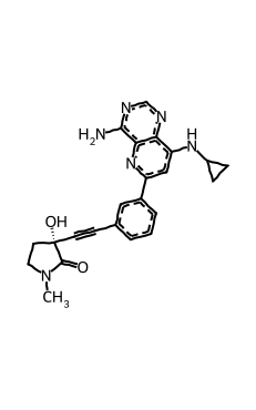 CN1CC[C@@](O)(C#Cc2cccc(-c3cc(NC4CC4)c4ncnc(N)c4n3)c2)C1=O